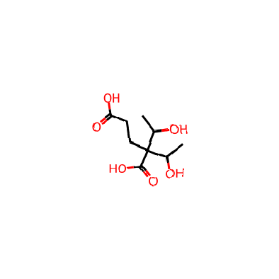 CC(O)C(CCC(=O)O)(C(=O)O)C(C)O